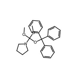 COC(OC)(OC(c1ccccc1)(c1ccccc1)c1ccccc1)N1CCCC1